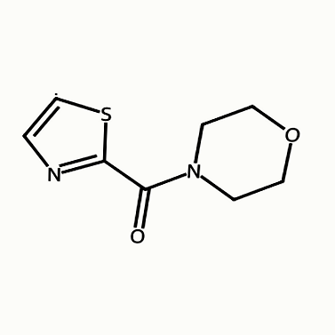 O=C(c1nc[c]s1)N1CCOCC1